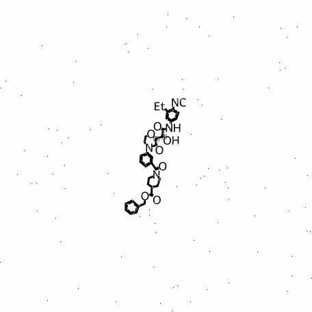 [C-]#[N+]c1ccc(NC(=O)[C@H](O)[C@H]2OCCN(c3cccc(C(=O)N4CCC(C(=O)OCc5ccccc5)CC4)c3)C2=O)cc1CC